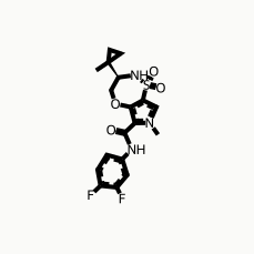 Cn1cc2c(c1C(=O)Nc1ccc(F)c(F)c1)OC[C@@H](C1(C)CC1)NS2(=O)=O